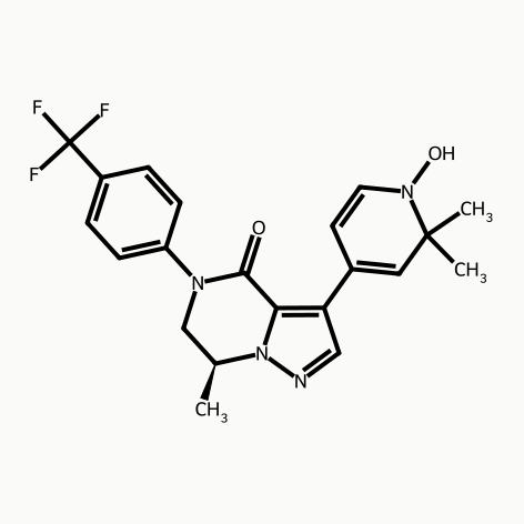 C[C@H]1CN(c2ccc(C(F)(F)F)cc2)C(=O)c2c(C3=CC(C)(C)N(O)C=C3)cnn21